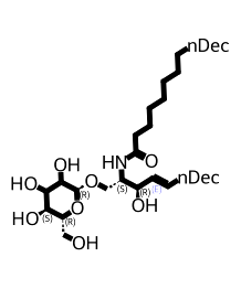 CCCCCCCCCC/C=C/[C@@H](O)[C@H](CO[C@@H]1O[C@H](CO)[C@@H](O)C(O)C1O)NC(=O)CCCCCCCCCCCCCCCCC